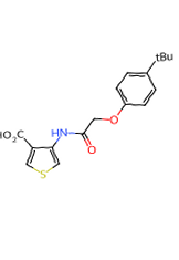 CC(C)(C)c1ccc(OCC(=O)Nc2cscc2C(=O)O)cc1